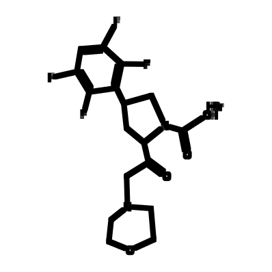 Br.O=C(CN1CCOCC1)C1CC(c2c(F)c(F)cc(F)c2F)CN1C(=O)O